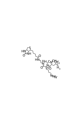 CC(C)CC(C(=O)NC(CCCCN=[N+]=[N-])C(=O)NCCNC(=O)CCCCC1SCC2NC(=O)NC21)N(C)C